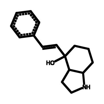 OC1(C=Cc2ccccc2)CCCC2NCCC21